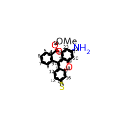 COOC(=O)c1ccccc1-c1c2ccc(=S)cc-2oc2cc(N)ccc12